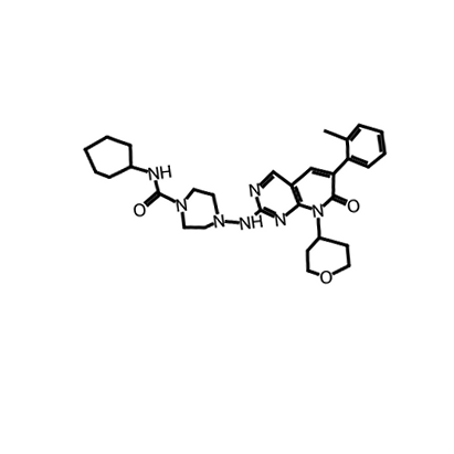 Cc1ccccc1-c1cc2cnc(NN3CCN(C(=O)NC4CCCCC4)CC3)nc2n(C2CCOCC2)c1=O